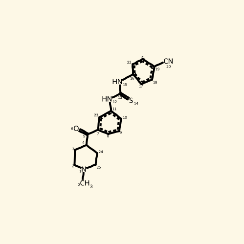 CN1CCC(C(=O)c2cccc(NC(=S)Nc3ccc(C#N)cc3)c2)CC1